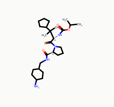 CC(C)OC(=O)N[C@H](C(=S)N1CCC[C@H]1C(=O)NCC1CCC(N)CC1)C(C)(C)C1CCCC1